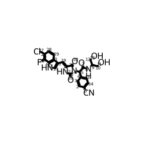 N#Cc1ccc(C(C(=O)NC(CO)CO)N2C(=O)N/C(=C\c3c[nH]c4c(F)c(Cl)ccc34)C2=O)cc1